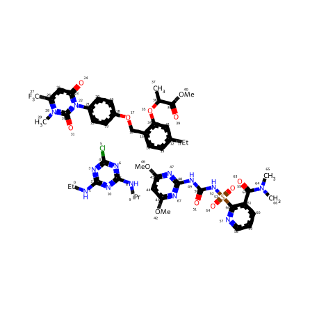 CCNc1nc(Cl)nc(NC(C)C)n1.CCc1ccc(COc2ccc(-n3c(=O)cc(C(F)(F)F)n(C)c3=O)cc2)c(OC(C)C(=O)OC)c1.COc1cc(OC)nc(NC(=O)NS(=O)(=O)c2ncccc2C(=O)N(C)C)n1